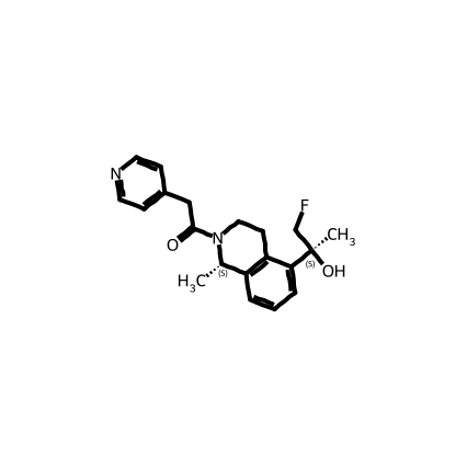 C[C@H]1c2cccc([C@](C)(O)CF)c2CCN1C(=O)Cc1ccncc1